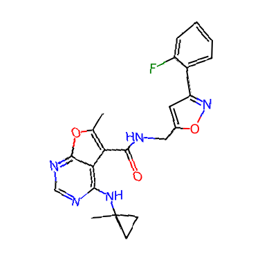 Cc1oc2ncnc(NC3(C)CC3)c2c1C(=O)NCc1cc(-c2ccccc2F)no1